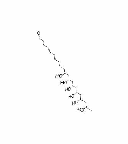 CC(O)CC(O)CC(O)CC(O)CC(O)CC(O)CC=CC=CC=CC=CC=O